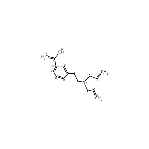 C=CCN(CC=C)CCc1cccc(C(=C)C)c1